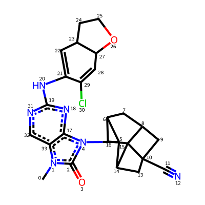 Cn1c(=O)n(C2C3CC4CC5(C#N)CC2C45C3)c2nc(NC3=CC4CCOC4C=C3Cl)ncc21